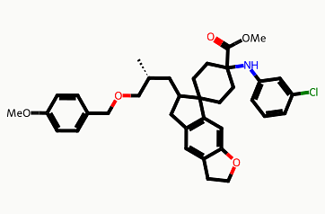 COC(=O)C1(Nc2cccc(Cl)c2)CCC2(CC1)c1cc3c(cc1CC2C[C@@H](C)COCc1ccc(OC)cc1)CCO3